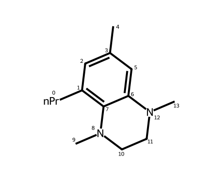 CCCc1cc(C)cc2c1N(C)CCN2C